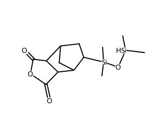 C[SiH](C)O[Si](C)(C)C1CC2CC1C1C(=O)OC(=O)C21